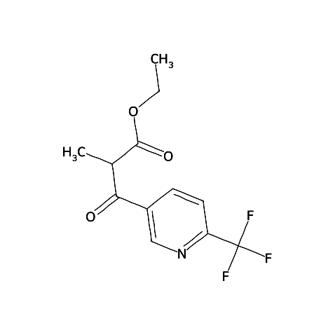 CCOC(=O)C(C)C(=O)c1ccc(C(F)(F)F)nc1